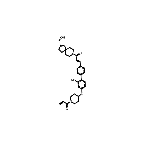 C=CC(=O)N1CCC(Oc2ccc(-c3ccc(C=CC(=O)N4CCC5(CC[C@H](CO)O5)CC4)cc3)c(C#N)c2)CC1